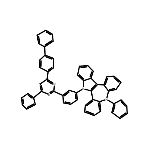 c1ccc(-c2ccc(-c3nc(-c4ccccc4)nc(-c4cccc(-n5c6c(c7ccccc75)-c5ccccc5N(c5ccccc5)c5ccccc5-6)c4)n3)cc2)cc1